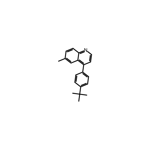 Cc1ccc2nccc(-c3ccc(C(C)(C)C)cc3)c2c1